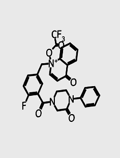 O=C1C=C[N+](Cc2ccc(F)c(C(=O)N3CCN(c4ccccc4)C(=O)C3)c2)(OC(=O)C(F)(F)F)c2ccccc21